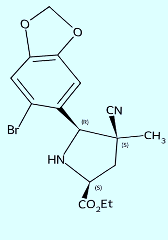 CCOC(=O)[C@@H]1C[C@](C)(C#N)[C@H](c2cc3c(cc2Br)OCO3)N1